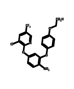 O=C(O)COc1ccc(Oc2cc(Oc3ncc(C(F)(F)F)cc3Cl)ccc2[N+](=O)[O-])cc1